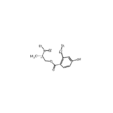 CCOc1cc(O)ccc1C(=O)OC[C@H](C)N(CC)CC